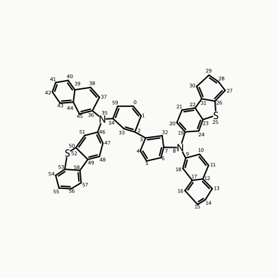 c1cc(-c2cccc(N(c3ccc4ccccc4c3)c3ccc4c(c3)sc3ccccc34)c2)cc(N(c2ccc3ccccc3c2)c2ccc3c(c2)sc2ccccc23)c1